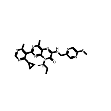 CC[C@@H](C)n1c(=O)c(NCc2cnc(SC)cn2)nc2c(C)nc(-c3c(C)ncnc3C3CC3)nc21